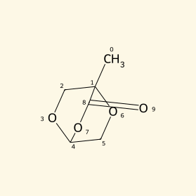 CC12COC(CO1)OC2=O